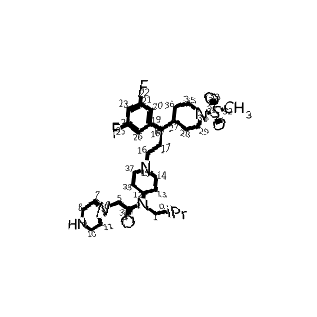 CC(C)CN(C(=O)CN1CCNCC1)C1CCN(CC[C@@H](c2cc(F)cc(F)c2)C2CCN(S(C)(=O)=O)CC2)CC1